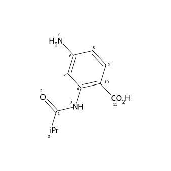 CC(C)C(=O)Nc1cc(N)ccc1C(=O)O